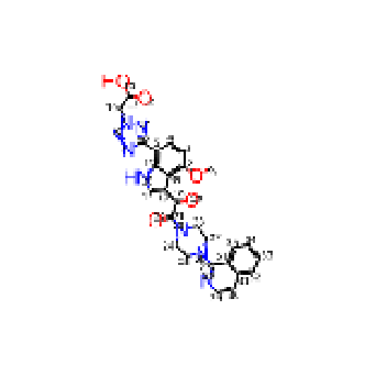 COc1ccc(-c2nnn(CC(=O)O)n2)c2[nH]cc(C(=O)C(=O)N3CCN(c4nccc5ccccc45)CC3)c12